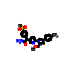 CCOC[C@@H]1CC(c2ccc(C(F)(F)F)cc2)CN1c1ccc(C(C(N)=O)c2ccc(S(=O)(=O)CC)cc2)cn1